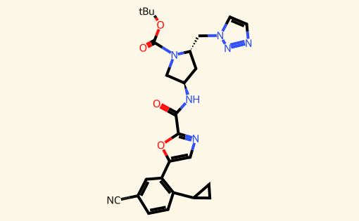 CC(C)(C)OC(=O)N1C[C@H](NC(=O)c2ncc(-c3cc(C#N)ccc3C3CC3)o2)C[C@H]1Cn1ccnn1